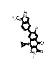 C[C@H]1NCc2cc(-c3cc4c(cc3F)c(=O)c3c(=O)[nH]sc3n4C3CC3)ccc21